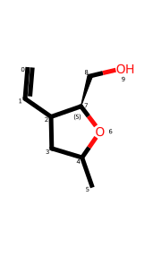 C=CC1CC(C)O[C@@H]1CO